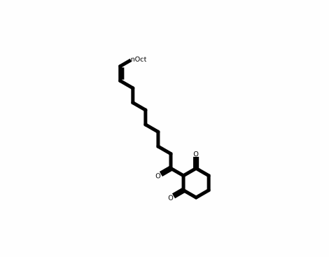 CCCCCCCC/C=C\CCCCCCCC(=O)C1C(=O)CCCC1=O